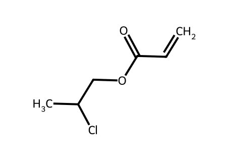 C=CC(=O)OCC(C)Cl